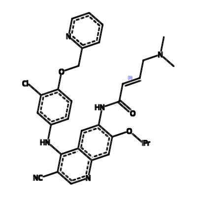 CC(C)Oc1cc2ncc(C#N)c(Nc3ccc(OCc4ccccn4)c(Cl)c3)c2cc1NC(=O)/C=C/CN(C)C